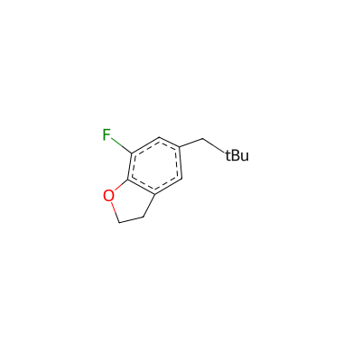 CC(C)(C)Cc1cc(F)c2c(c1)CCO2